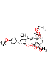 COC(=O)C[C@H]1[C@H](CC2=C(C)[C@H](c3ccc(OC)cc3)C[C@@H]2O)C[C@@H]2OC(=O)[C@]3(C)C=CC(=O)[C@@]1(C)[C@@H]23